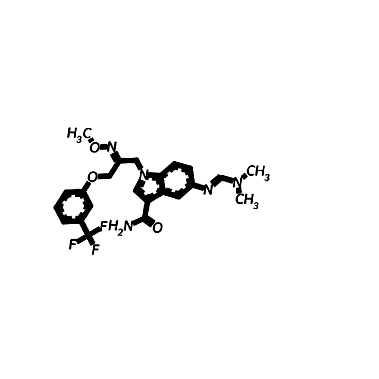 CO/N=C(\COc1cccc(C(F)(F)F)c1)Cn1cc(C(N)=O)c2cc(/N=C/N(C)C)ccc21